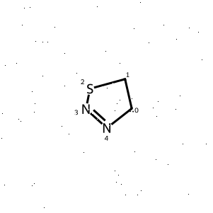 [C]1CSN=N1